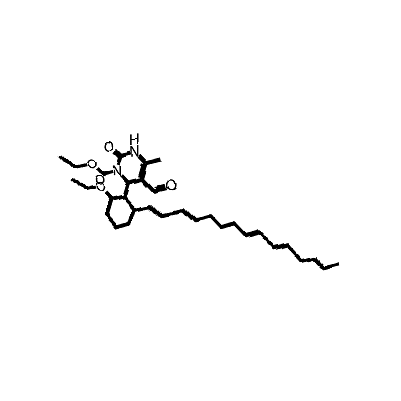 CCCCCCCCCCCCCCCC1CCCC(OCC)C1C1C(C=O)=C(C)NC(=O)N1C(=O)OCC